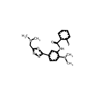 CN(C)Cc1nnc(-c2ccc(N(C)C)c(NC(=O)c3ccccc3F)c2)o1